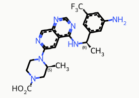 C[C@@H](Nc1ncnc2cnc(N3CCN(C(=O)O)C[C@@H]3C)cc12)c1cc(N)cc(C(F)(F)F)c1